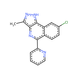 Cc1n[nH]c2c1nc(-c1ccccn1)c1ccc(Cl)cc12